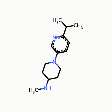 CNC1CCN(c2ccc(C(C)C)nc2)CC1